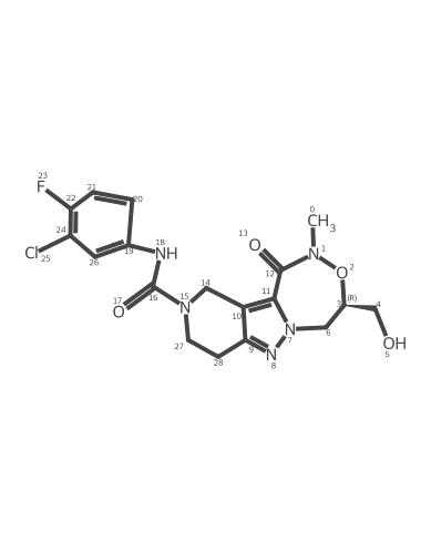 CN1O[C@@H](CO)Cn2nc3c(c2C1=O)CN(C(=O)Nc1ccc(F)c(Cl)c1)CC3